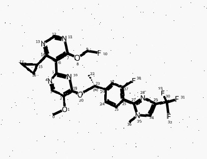 COc1cnc(-c2c(OCF)ncnc2C2CC2)nc1O[C@H](C)c1ccc(-c2nc(C(F)(F)F)cn2C)c(F)c1